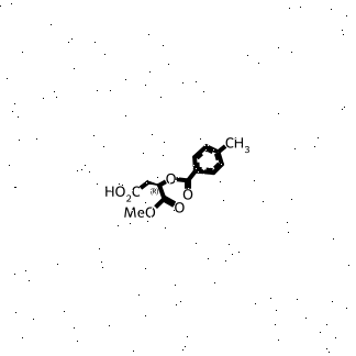 COC(=O)[C@@H](CC(=O)O)OC(=O)c1ccc(C)cc1